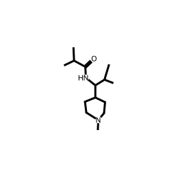 CC(C)C(=O)NC(C(C)C)C1CCN(C)CC1